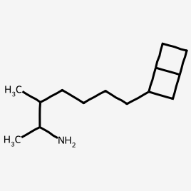 CC(N)C(C)CCCCC1CC2CCC12